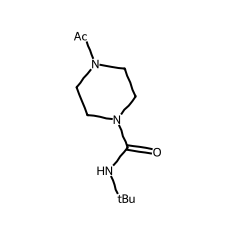 CC(=O)N1CCN(C(=O)NC(C)(C)C)CC1